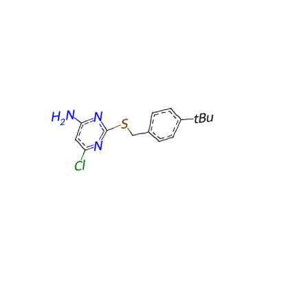 CC(C)(C)c1ccc(CSc2nc(N)cc(Cl)n2)cc1